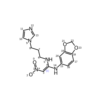 O=[N+]([O-])/C=C(\NCCCn1ccnc1)Nc1ccc2c(c1)OCO2